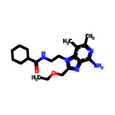 CCOCc1nc2c(N)nc(C)c(C)c2n1CCNC(=O)C1CCCCC1